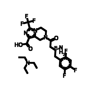 CCN(CC)CC.N[C@@H](CC(=O)N1CCn2c(C(F)(F)F)nc(C(=O)O)c2C1)Cc1cc(F)c(F)cc1F